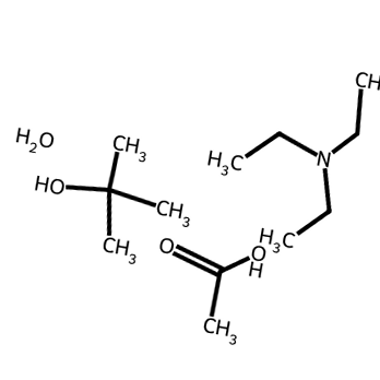 CC(=O)O.CC(C)(C)O.CCN(CC)CC.O